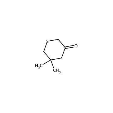 CC1(C)CSCC(=O)C1